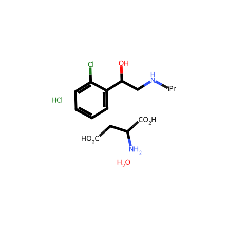 CC(C)NCC(O)c1ccccc1Cl.Cl.NC(CC(=O)O)C(=O)O.O